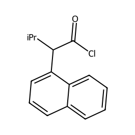 CC(C)C(C(=O)Cl)c1cccc2ccccc12